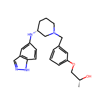 C[C@@H](O)COc1cccc(CN2CCC[C@@H](Nc3ccc4[nH]ncc4c3)C2)c1